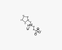 O=S(=O)([O-])CCNCC1CCCC1.[Li+]